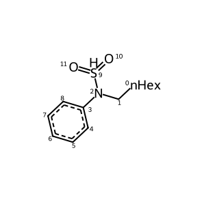 CCCCCCCN(c1ccccc1)[SH](=O)=O